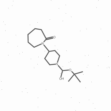 CC(C)(C)OC(O)N1CCC(N2CCCCCC2=O)CC1